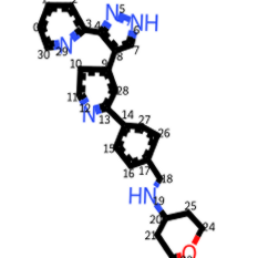 c1ccc(-c2n[nH]cc2-c2ccnc(-c3ccc(CNC4CCOCC4)cc3)c2)nc1